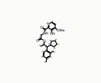 COc1ccnc(C(=O)NCC(=O)OC(C)C(c2ccc(C)cc2C)C2CCCC2)c1O